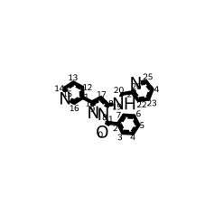 O=C(c1ccccc1)n1nc(-c2cccnc2)cc1NCc1ccccn1